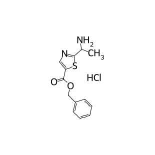 CC(N)c1ncc(C(=O)OCc2ccccc2)s1.Cl